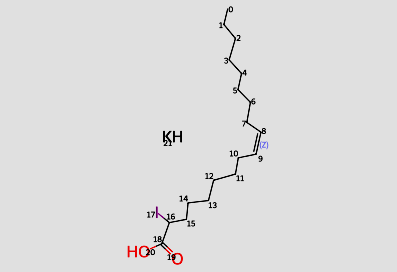 CCCCCCCC/C=C\CCCCCCC(I)C(=O)O.[KH]